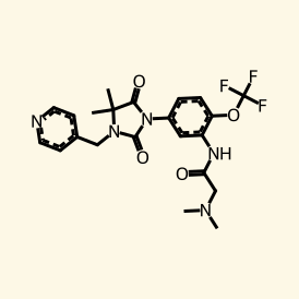 CN(C)CC(=O)Nc1cc(N2C(=O)N(Cc3ccncc3)C(C)(C)C2=O)ccc1OC(F)(F)F